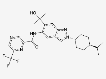 CC(C)[C@H]1CC[C@H](n2cc3cc(NC(=O)c4cncc(C(F)(F)F)n4)c(C(C)(C)O)cc3n2)CC1